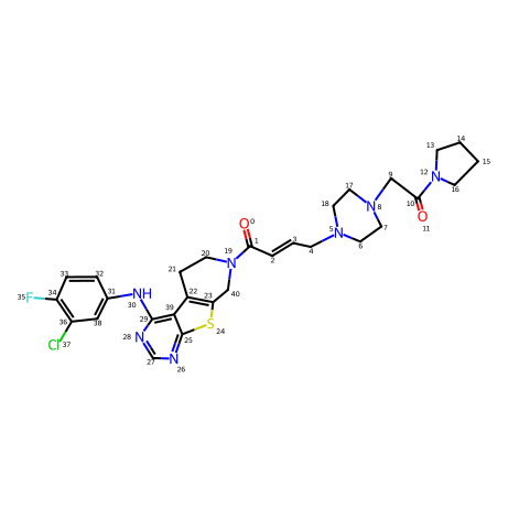 O=C(/C=C/CN1CCN(CC(=O)N2CCCC2)CC1)N1CCc2c(sc3ncnc(Nc4ccc(F)c(Cl)c4)c23)C1